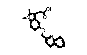 Cc1c(CC(=O)O)c2cc(OCc3ccc4ccccc4n3)ccc2n1C